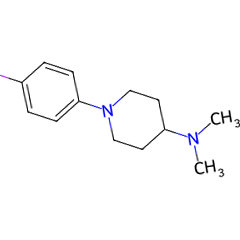 CN(C)C1CCN(c2ccc(I)cc2)CC1